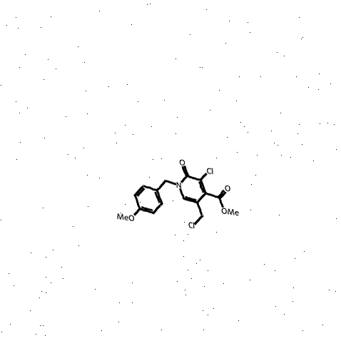 COC(=O)c1c(CCl)cn(Cc2ccc(OC)cc2)c(=O)c1Cl